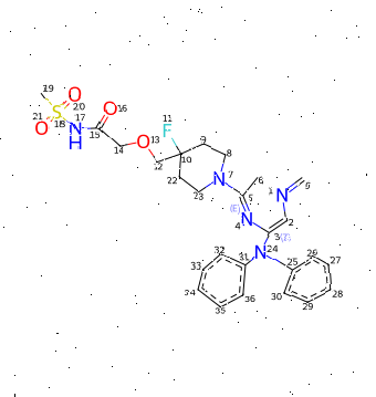 C=N/C=C(\N=C(/C)N1CCC(F)(COCC(=O)NS(C)(=O)=O)CC1)N(c1ccccc1)c1ccccc1